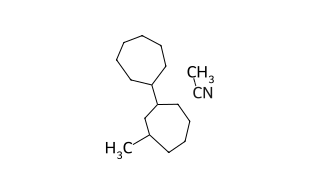 CC#N.CC1CCCCC(C2CCCCCC2)C1